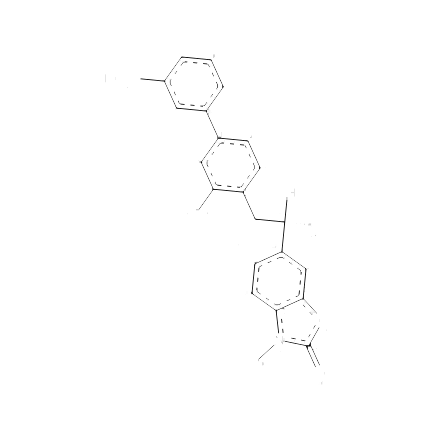 C[C@H](c1ccc(-c2cccc(C(=O)O)c2)cc1Cl)[C@@](O)(c1ccc2c(c1)oc(=O)n2C)C(F)(F)F